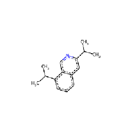 CC(C)c1cc2cccc(C(C)C)c2cn1